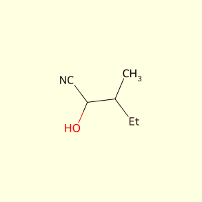 CCC(C)C(O)C#N